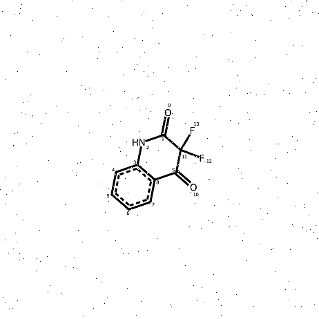 O=C1Nc2ccccc2C(=O)C1(F)F